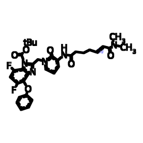 CN(C)C(=O)/C=C/CCCC(=O)Nc1cccn(Cc2nc3c(Oc4ccccc4)c(F)cc(F)c3n2C(=O)OC(C)(C)C)c1=O